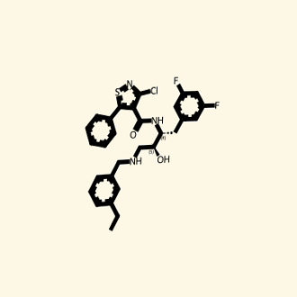 CCc1cccc(CNC[C@H](O)[C@@H](Cc2cc(F)cc(F)c2)NC(=O)c2c(Cl)nsc2-c2ccccc2)c1